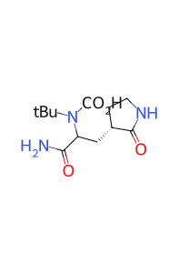 CC(C)(C)N(C(=O)O)C(C[C@@H]1CCNC1=O)C(N)=O